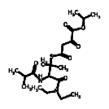 CCN(CC)C(=O)C(NC(=O)C(C)C)C(C)(C)SC(=O)CC(=O)C(=O)OC(C)C